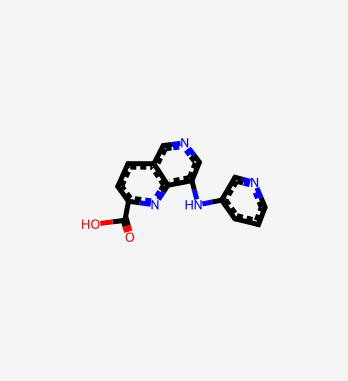 O=C(O)c1ccc2cncc(Nc3cccnc3)c2n1